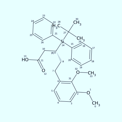 COc1cccc(CC[C@H](CC(=O)O)[Si](c2ccccc2)(c2ccccc2)C(C)(C)C)c1OC